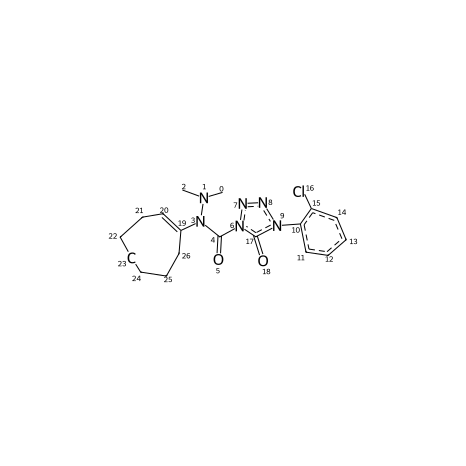 CN(C)N(C(=O)n1nnn(-c2ccccc2Cl)c1=O)/C1=C/CCCCCC1